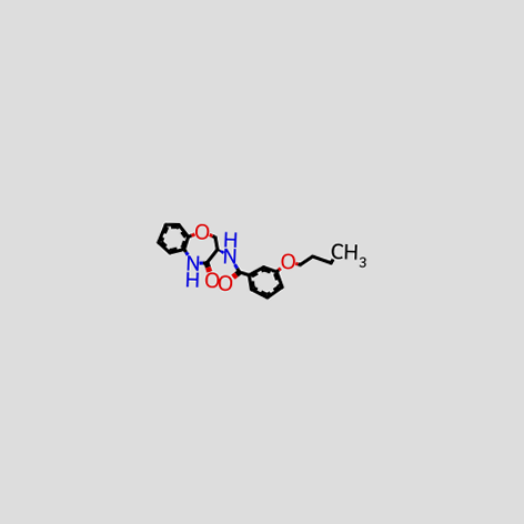 CCCCOc1cccc(C(=O)N[C@@H]2COc3ccccc3NC2=O)c1